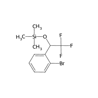 C[Si](C)(C)OC(c1ccccc1Br)C(F)(F)F